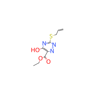 C=CCSc1nnc(C(=O)OCC)c(O)n1